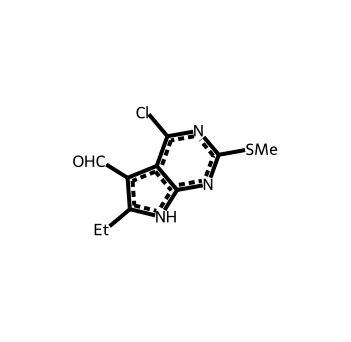 CCc1[nH]c2nc(SC)nc(Cl)c2c1C=O